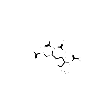 CCC(=O)OC[C@@H](OC(=O)CC)[C@H]1O[C@@H](SC)[C@H](OC(=O)CC)[C@H]1OC(=O)CC